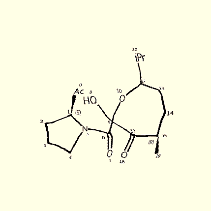 CC(=O)[C@@H]1CCCN1C(=O)C1(O)OC(C(C)C)CC[C@@H](C)C1=O